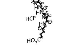 Cl.O=C(O)CCCC(=O)CNC(=O)c1csc(NC(=O)NCc2ccccn2)n1